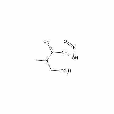 CN(CC(=O)O)C(=N)N.O=PO